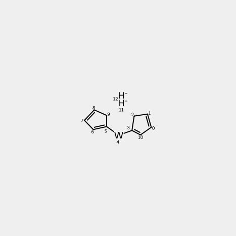 C1=CC[C]([W][C]2=CC=CC2)=C1.[H-].[H-]